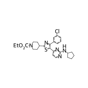 CCOC(=O)N1CCC(c2nc(-c3cccc(Cl)c3)c(-c3ccnc(NC4CCCC4)n3)s2)CC1